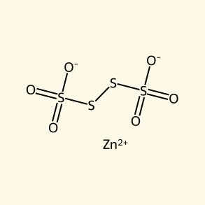 O=S(=O)([O-])SSS(=O)(=O)[O-].[Zn+2]